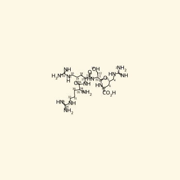 N=C(N)NCCC[C@H](NC(=O)[C@H](CO)NC(=O)[C@H](CCCNC(=N)N)NC(=O)[C@@H](N)CCCNC(=N)N)C(=O)O